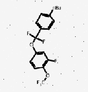 CCCCc1ccc(C(F)(F)Oc2ccc(OC(F)(F)F)c(F)c2)cc1